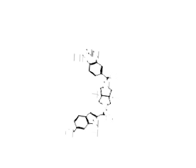 O=C(c1ccc2[nH]nnc2c1)N1C[C@@H]2CN(C(=O)c3cc4ccc(Cl)cc4[nH]3)C[C@@H]2C1